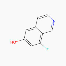 Oc1cc(F)c2cnccc2c1